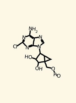 Nc1nc(Cl)nc2c1ncn2C1C(O)C(O)C2(COP=O)CC12